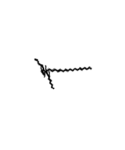 CCCCCCCCCCCCCCCCCCC1N(CCCC)C=CN1CCCCCCC